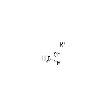 BF.[Cl-].[K+]